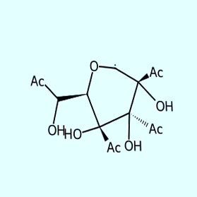 CC(=O)C(O)[C@H]1O[CH][C@@](O)(C(C)=O)[C@](O)(C(C)=O)[C@@]1(O)C(C)=O